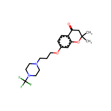 CC1(C)CC(=O)c2ccc(OCCCN3CCN(C(F)(F)F)CC3)cc2O1